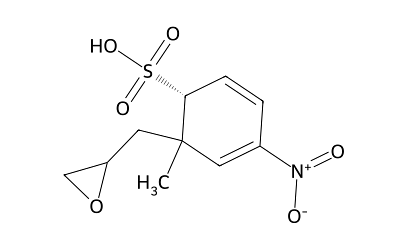 CC1(CC2CO2)C=C([N+](=O)[O-])C=C[C@H]1S(=O)(=O)O